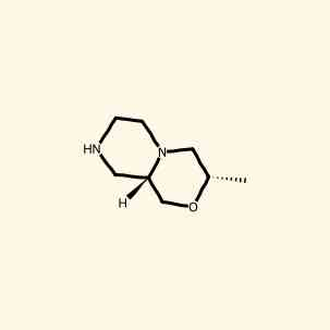 C[C@H]1CN2CCNC[C@H]2CO1